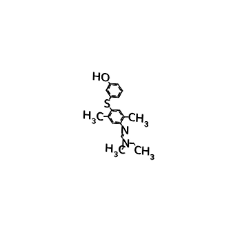 CCN(C)C=Nc1cc(C)c(Sc2cccc(O)c2)cc1C